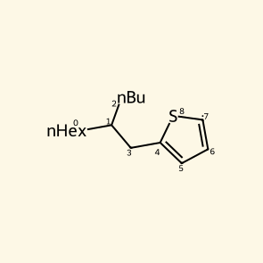 CCCCCCC(CCCC)Cc1cc[c]s1